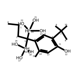 CCCC(c1cc(C(C)(C)C)c(O)cc1C)([PH](O)(O)O)[PH](O)(O)O